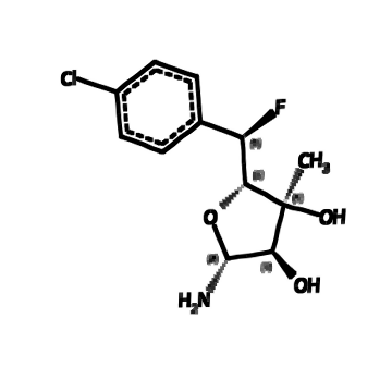 C[C@@]1(O)[C@@H]([C@H](F)c2ccc(Cl)cc2)O[C@@H](N)[C@@H]1O